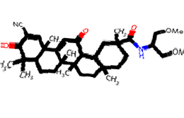 COCC(COC)NC(=O)C1(C)CCC2(C)CCC3(C)C(C(=O)C=C4C5(C)C=C(C#N)C(=O)C(C)(C)C5CCC43C)C2C1